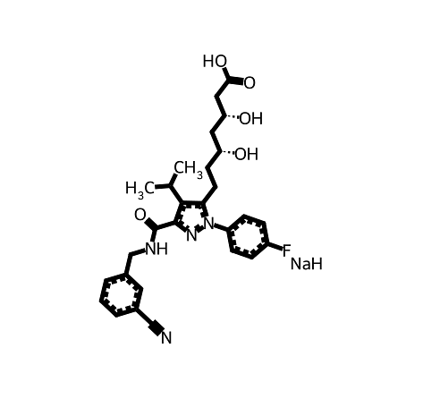 CC(C)c1c(C(=O)NCc2cccc(C#N)c2)nn(-c2ccc(F)cc2)c1CC[C@@H](O)C[C@@H](O)CC(=O)O.[NaH]